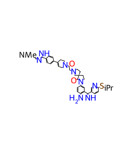 CN/C=N\C(=N)c1ccc(C2=CCN(C(=O)CN3CC[C@]4(CCN(c5ccc(N)c(C(=N)c6ccc(SC(C)C)nc6)c5)C4=O)C3)CC2)cc1